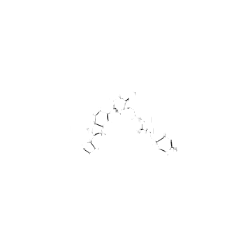 Cn1c(-c2ccco2)nc2cc(C3=NN(CCNC(=O)NCc4ccc(F)cc4)C(=O)SC3)ccc21